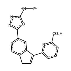 CC(C)Nc1nnc(-c2ccc3c(c2)C(c2cccc(C(=O)O)n2)=CC3)o1